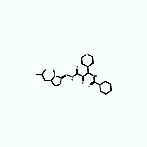 CC(C)C[C@@H]1CS/C(=N\NC(=O)C(=O)C(NC(=O)C2CCCCC2)C2CCOCC2)N1C